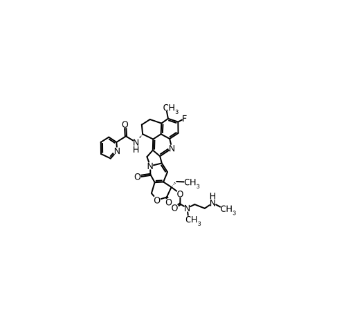 CC[C@]1(OC(=O)N(C)CCNC)C(=O)OCc2c1cc1n(c2=O)Cc2c-1nc1cc(F)c(C)c3c1c2[C@H](NC(=O)c1ccccn1)CC3